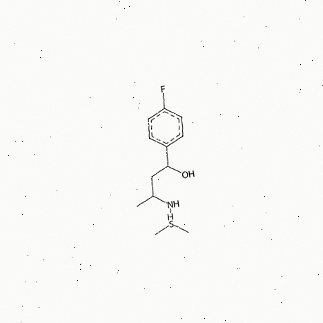 CC(CC(O)c1ccc(F)cc1)N[SH](C)C